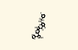 O=C(c1c(F)ccc(NS(=O)(=O)c2cccc(F)c2)c1F)c1c[nH]c2ncc(-c3c[nH]nc3-c3cnccn3)cc12